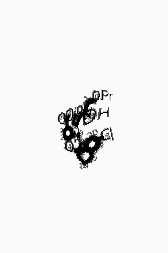 CCC/C=C/[C@@H](O)[C@@H]1CC[C@H]1CN1CC2(CCCc3cc(Cl)ccc32)COc2ccc(C(=O)OCC(C)C)cc21